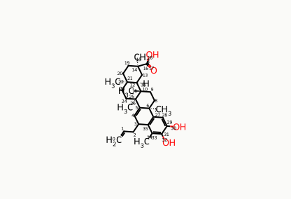 C=CCC1C=C2[C@@](C)(CC[C@@]3(C)[C@@H]4C[C@](C)(C(=O)O)CC[C@]4(C)CC[C@]23C)c2cc(O)c(O)c(C)c21